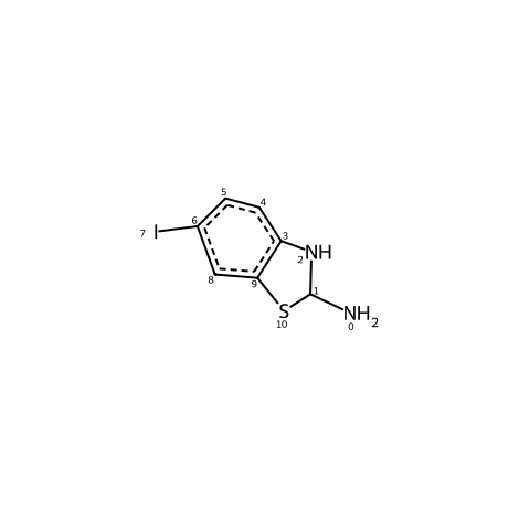 NC1Nc2ccc(I)cc2S1